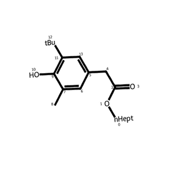 CCCCCCCOC(=O)Cc1cc(C)c(O)c(C(C)(C)C)c1